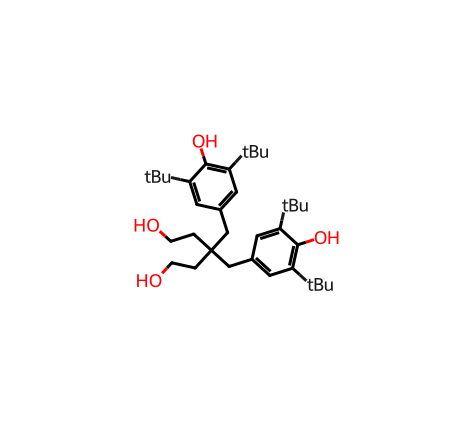 CC(C)(C)c1cc(CC(CCO)(CCO)Cc2cc(C(C)(C)C)c(O)c(C(C)(C)C)c2)cc(C(C)(C)C)c1O